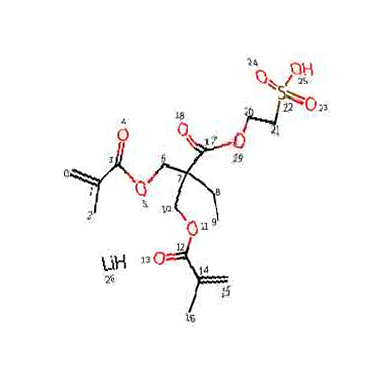 C=C(C)C(=O)OCC(CC)(COC(=O)C(=C)C)C(=O)OCCS(=O)(=O)O.[LiH]